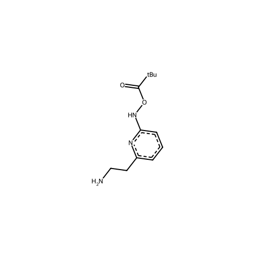 CC(C)(C)C(=O)ONc1cccc(CCN)n1